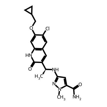 C[C@H](Nc1cc(C(N)=O)n(C)n1)c1cc2cc(Cl)c(OCC3CC3)cc2[nH]c1=O